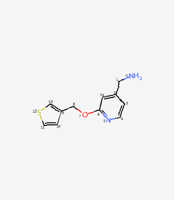 NCc1ccnc(OCc2ccsc2)c1